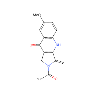 C=C1c2[nH]c3ccc(OC)cc3c(=O)c2CN1C(=O)CCC